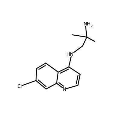 CC(C)(N)CNc1ccnc2cc(Cl)ccc12